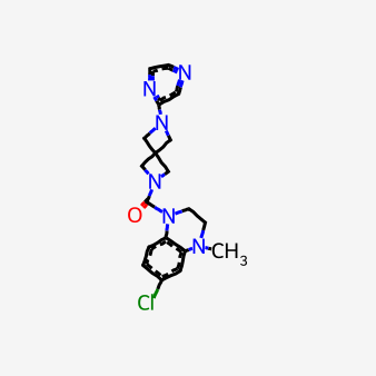 CN1CCN(C(=O)N2CC3(C2)CN(c2cnccn2)C3)c2ccc(Cl)cc21